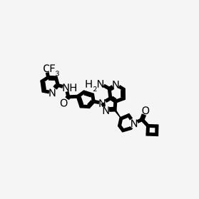 Nc1nccc2c([C@@H]3CCCN(C(=O)C4CCC4)C3)nn(-c3ccc(C(=O)Nc4cc(C(F)(F)F)ccn4)cc3)c12